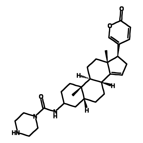 C[C@]12CCC(NC(=O)N3CCNCC3)C[C@H]1CC[C@H]1C3=CC[C@H](c4ccc(=O)oc4)[C@@]3(C)CC[C@@H]12